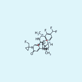 C[C@@H](NC(=O)c1cn(C2(CF)CC2)c(=O)cc1N[C@H]1[C@@H]2CC[C@H]1CN(C)C2)c1cccc(C(F)F)c1F